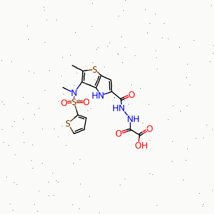 Cc1sc2cc(C(=O)NNC(=O)C(=O)O)[nH]c2c1N(C)S(=O)(=O)c1cccs1